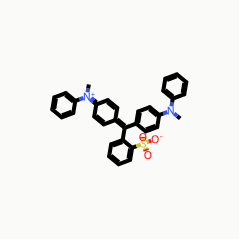 CN(c1ccccc1)c1ccc(C(=C2C=CC(=[N+](C)c3ccccc3)C=C2)c2ccccc2S(=O)(=O)[O-])cc1